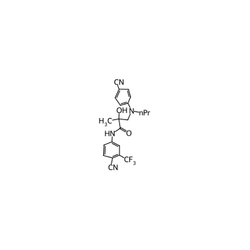 CCCN(CC(C)(O)C(=O)Nc1ccc(C#N)c(C(F)(F)F)c1)c1ccc(C#N)cc1